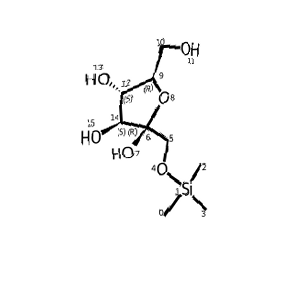 C[Si](C)(C)OC[C@@]1(O)O[C@H](CO)[C@@H](O)[C@@H]1O